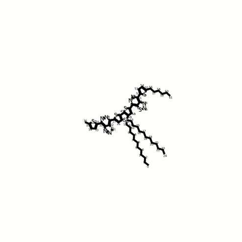 CCCCCCCCCCCC[Si]1(CCCCCCCCCCCC)c2cc(-c3nnc(-c4ccc(C)s4)c4nnsc34)sc2-c2sc(-c3nnc(-c4ccc(CCCCCC)s4)c4nnsc34)cc21